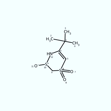 CC(C)(C)C1=CS(=O)(=O)C[S+]([O-])N1